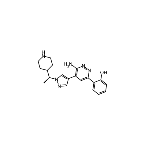 C[C@@H](C1CCNCC1)n1cc(-c2cc(-c3ccccc3O)nnc2N)cn1